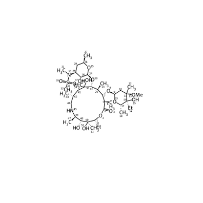 CC[C@H]1OC(=O)[C@H](C)[C@@H](O[C@H]2C[C@@](C)(OC)[C@](O)(CC)[C@H](C)O2)[C@H](C)[C@@H](O[C@@H]2O[C@H](C)C[C@H](N(C)S(C)(=O)=O)[C@H]2O)[C@](C)(O)C[C@@H](C)CN[C@H](C)[C@@H](O)[C@]1(C)O